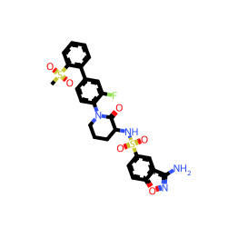 CS(=O)(=O)c1ccccc1-c1ccc(N2CCCC(NS(=O)(=O)c3ccc4onc(N)c4c3)C2=O)c(F)c1